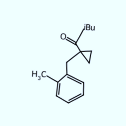 CCC(C)C(=O)C1(Cc2ccccc2C)CC1